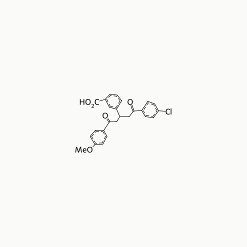 COc1ccc(C(=O)CC(CC(=O)c2ccc(Cl)cc2)c2cccc(C(=O)O)c2)cc1